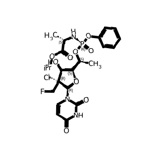 CC(C)OC(=O)[C@H](C)N[P@](=O)(Oc1ccccc1)O[C@@H](C)[C@H]1O[C@@H](n2ccc(=O)[nH]c2=O)[C@@](Cl)(CF)C1O